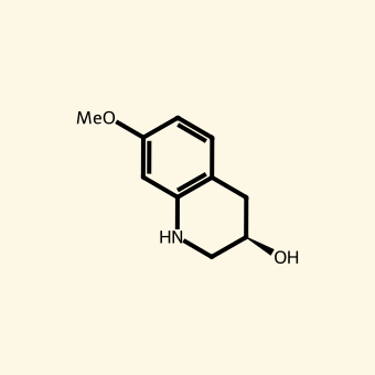 COc1ccc2c(c1)NC[C@H](O)C2